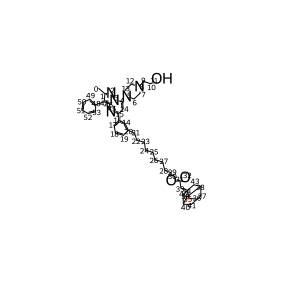 Cc1nn2c(N3CCN(CCO)CC3)cc(-c3cccc(CCCCCCCCCOC(=O)CC45CC6CC(CC(C6)C4)C5)c3)nc2c1-c1ccccc1